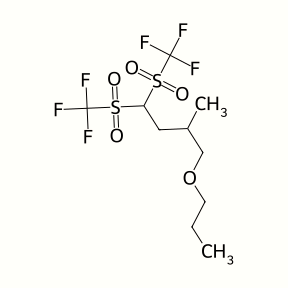 CCCOCC(C)CC(S(=O)(=O)C(F)(F)F)S(=O)(=O)C(F)(F)F